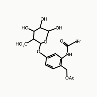 CC(=O)OCc1ccc(OC2OC(O)C(O)C(O)C2C(=O)O)cc1NC(=O)C(C)C